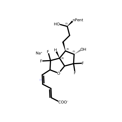 CCCCC[C@H](O)CC[C@H]1[C@H](O)C(F)(F)C2OC(/C=C\C=CC(=O)[O-])C(F)(F)[C@@H]21.[Na+]